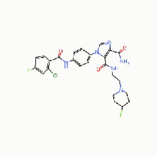 NC(=O)c1ncn(-c2ccc(NC(=O)c3ccc(F)cc3Cl)cc2)c1C(=O)NCCN1CCC(F)CC1